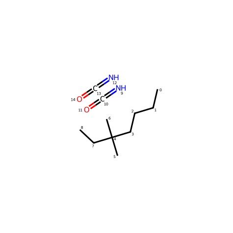 CCCCC(C)(C)CC.N=C=O.N=C=O